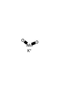 [K+].[O]=[Mn-]=[O]